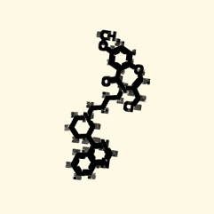 COc1ccc2c(c1)C(=O)N(CCCCN1CCCC(c3ncnc4ccccc34)C1)C(CCl)=CO2